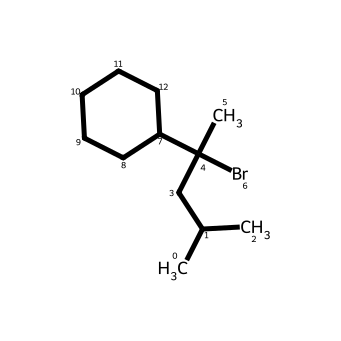 CC(C)CC(C)(Br)C1CCCCC1